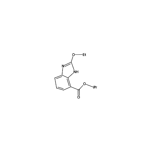 CCOc1nc2cccc(C(=O)OC(C)C)c2[nH]1